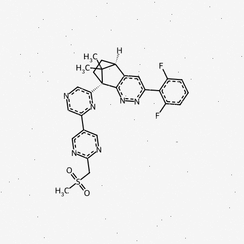 CC1(C)[C@H]2CC[C@]1(c1cncc(-c3cnc(CS(C)(=O)=O)nc3)n1)c1nnc(-c3c(F)cccc3F)cc12